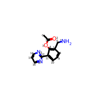 CC(=O)Oc1c(CN)cccc1-c1ncccn1